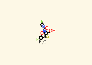 O=C(Cn1cc(CO)c2scc(-c3ccc(F)c(C(F)(F)F)c3)c2c1=O)N1CCC(F)C1